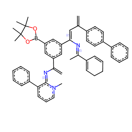 C=C(/C=C(\N=C(/C)C1=CCCC=C1)c1cc(B2OC(C)(C)C(C)(C)O2)cc(C(=C)/N=c2/c(-c3ccccc3)cccn2C)c1)c1ccc(-c2ccccc2)cc1